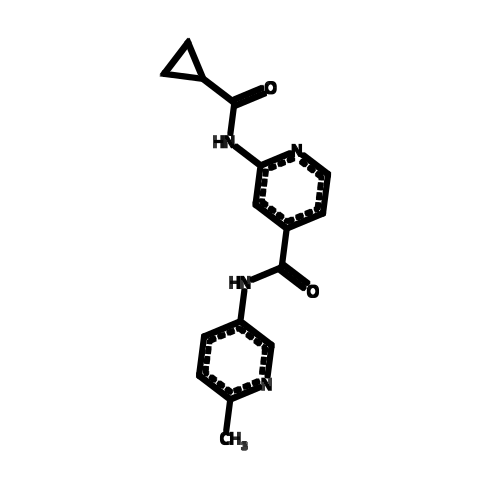 Cc1ccc(NC(=O)c2ccnc(NC(=O)C3CC3)c2)cn1